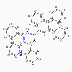 c1ccc(-c2cc(-c3cc4c5ccccc5c5ccccc5c4c4ccccc34)nc(-c3ccccc3-c3cccnc3)n2)cc1